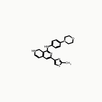 Cc1nc(-c2cc3c(c(Nc4ccc(N5CCOCC5)cc4)n2)CNC=C3)cs1